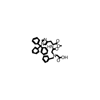 COC(=O)C(Cc1cn(C(c2ccccc2)(c2ccccc2)c2ccccc2)cn1)NC(=O)CN(CC(=O)O)Cc1ccccc1